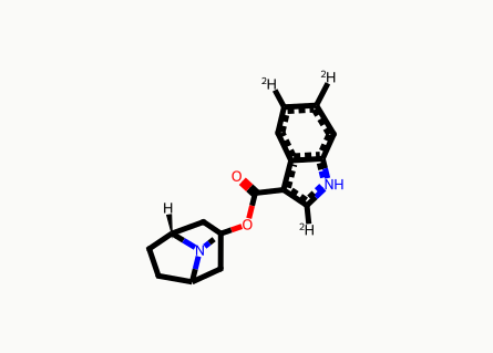 [2H]c1cc2[nH]c([2H])c(C(=O)OC3CC4CC[C@H](C3)N4C)c2cc1[2H]